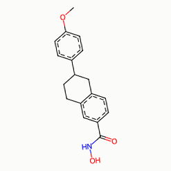 COc1ccc(C2CCc3cc(C(=O)NO)ccc3C2)cc1